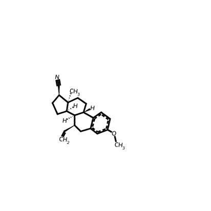 C=C[C@@H]1Cc2cc(OC)ccc2[C@H]2CC[C@]3(C)[C@H](C#N)CC[C@@H]3[C@H]12